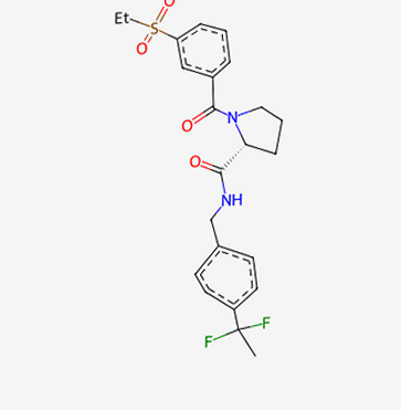 CCS(=O)(=O)c1cccc(C(=O)N2CCC[C@@H]2C(=O)NCc2ccc(C(C)(F)F)cc2)c1